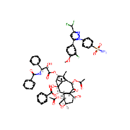 CC(=O)O[C@H]1C(=O)[C@@]2(C)[C@H]([C@H](OC(=O)c3ccccc3)[C@]3(O)C[C@H](OC(=O)[C@H](O)[C@@H](NC(=O)c4ccccc4)c4ccccc4)C(C)=C1C3(C)C)[C@]1(OC(C)=O)CO[C@@H]1C[C@@H]2O.COc1ccc(-c2cc(C(F)F)nn2-c2ccc(S(N)(=O)=O)cc2)cc1F